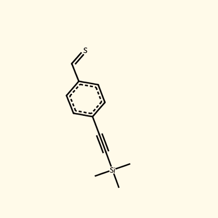 C[Si](C)(C)C#Cc1ccc(C=S)cc1